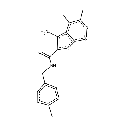 Cc1ccc(CNC(=O)c2sc3nnc(C)c(C)c3c2N)cc1